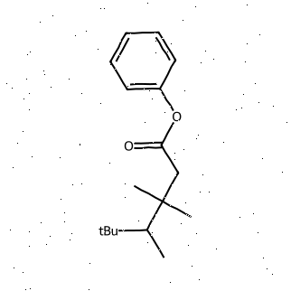 CC(C(C)(C)C)C(C)(C)CC(=O)Oc1ccccc1